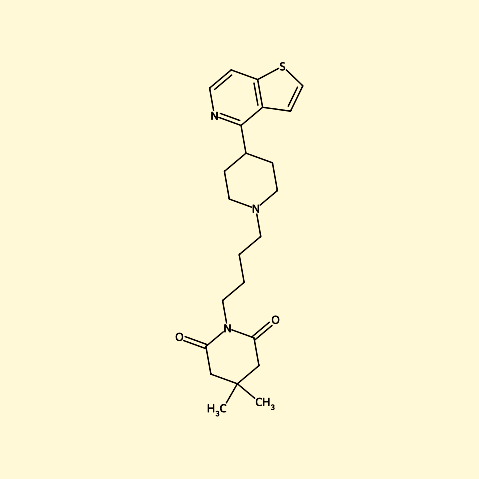 CC1(C)CC(=O)N(CCCCN2CCC(c3nccc4sccc34)CC2)C(=O)C1